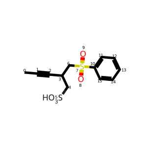 CC#CC(CS(=O)(=O)O)CS(=O)(=O)c1ccccc1